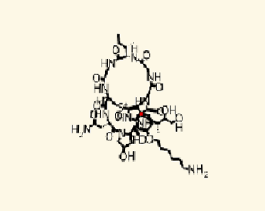 CC[C@H](C)[C@@H]1NC(=O)CNC(=O)C2Cc3c([nH]c4cc(OCCCCCCN)ccc34)[S@@+]([O-])C[C@@H](NC(=O)CNC1=O)C(=O)N[C@@H](CC(N)=O)C(=O)N1CC(O)C[C@H]1C(=O)N[C@@H]([C@@H](C)[C@@H](O)CO)C(=O)N2